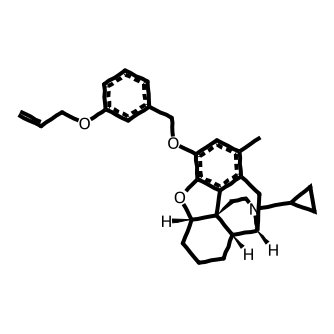 C=CCOc1cccc(COc2cc(C)c3c4c2O[C@H]2CCC[C@H]5[C@@H](C3)N(C3CC3)CC[C@]425)c1